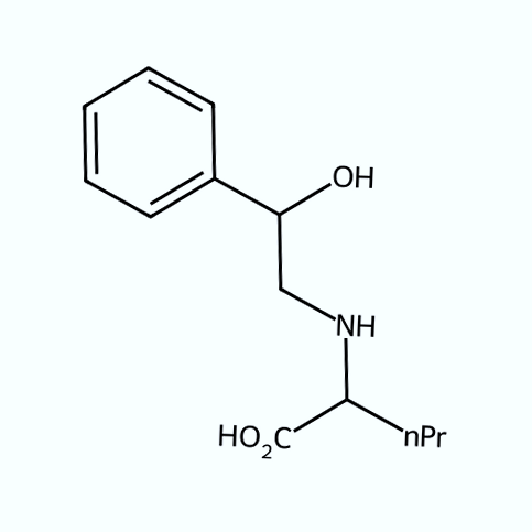 CCCC(NCC(O)c1ccccc1)C(=O)O